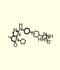 Cc1cc(=O)n(C2CCCC2)c2nc(Nc3ccc(N4CCC(C5=NN[S+]([O-])N5)CC4)cc3)ncc12